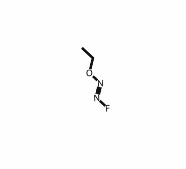 CCON=NF